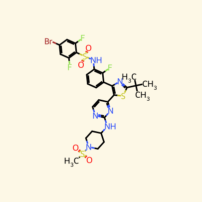 CC(C)(C)c1nc(-c2cccc(NS(=O)(=O)c3c(F)cc(Br)cc3F)c2F)c(-c2ccnc(NC3CCN(S(C)(=O)=O)CC3)n2)s1